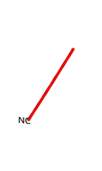 C#CC#CC#CC#CC#CC#CC#CC#CC#CC#CC#CC#CC#CC#CC#CC#CC#CC#CC#CC#CC#CC#CC#CC#CC#CC#CC#CC#CC#CC#CC#CC#CC#CC#CC#CC#CC#CC#CC#CC#CC#CC#CC#CC#CC#CC#CC#CC#CC#CC#CC#CC#CC#CC#CC#N